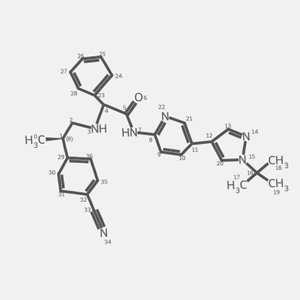 C[C@@H](CNC(C(=O)Nc1ccc(-c2cnn(C(C)(C)C)c2)cn1)c1ccccc1)c1ccc(C#N)cc1